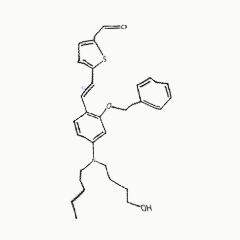 CCCCN(CCCCO)c1ccc(/C=C/c2ccc(C=O)s2)c(OCc2ccccc2)c1